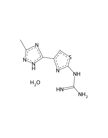 Cc1n[nH]c(-c2csc(NC(=N)N)n2)n1.O